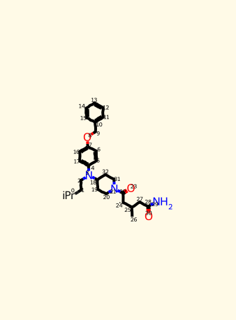 CC(C)CCN(c1ccc(OCc2ccccc2)cc1)C1CCN(C(=O)[CH]C(C)CC(N)=O)CC1